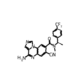 C[C@H](c1ccc(C(F)(F)F)cc1)N(C)C(=O)c1cc2c(cc1C#N)nc(N)c1cncn12